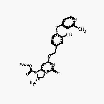 Cc1cc(Oc2ccc(COc3cc4n(c(=O)n3)C[C@H](C)N4C(=O)OC(C)(C)C)cc2C#N)ccn1